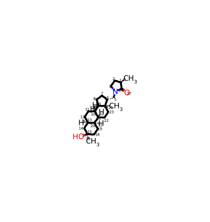 C[C@@H]1CCN(C[C@H]2CC[C@H]3[C@@H]4CC[C@@H]5C[C@](C)(O)CC[C@@H]5[C@H]4CC[C@]23C)C1=O